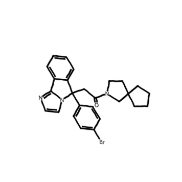 O=C(CC1(c2ccc(Br)cc2)c2ccccc2-c2nccn21)N1CCC2(CCCC2)C1